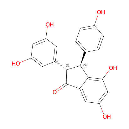 O=C1c2cc(O)cc(O)c2[C@H](c2ccc(O)cc2)[C@H]1c1cc(O)cc(O)c1